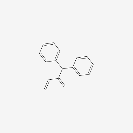 C=CC(=C)C(c1ccccc1)c1ccccc1